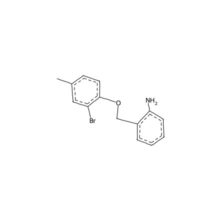 Cc1ccc(OCc2ccccc2N)c(Br)c1